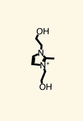 Cc1n(CCO)cc[n+]1CCO